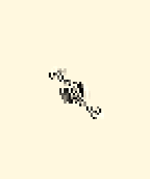 O=C(O)c1ccc(-c2ccc(C(O)[C@@H](O)[C@H](O)[C@H](O)[C@@H](O)C(O)c3ccc(-c4ccc(C(=O)O)cc4)cc3)cc2)cc1